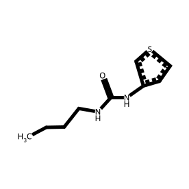 CCCCNC(=O)Nc1ccsc1